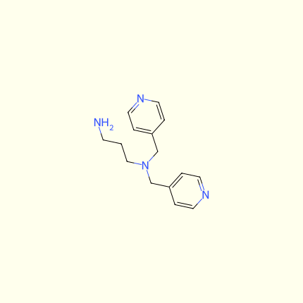 NCCCN(Cc1ccncc1)Cc1ccncc1